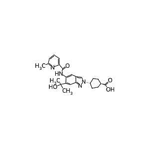 Cc1cccc(C(=O)Nc2cc3cn([C@H]4CC[C@H](C(=O)O)CC4)nc3cc2C(C)(C)O)n1